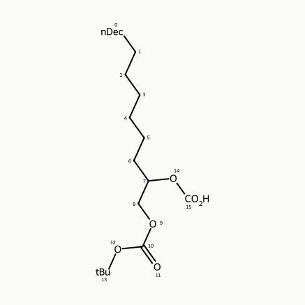 CCCCCCCCCCCCCCCCC(COC(=O)OC(C)(C)C)OC(=O)O